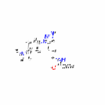 COC(=O)NCCCc1cnnn1-c1ccc2c(ccn2C)c1